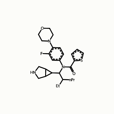 CCCC(CC)C(C1C2CNCC21)N(C(=O)c1cccs1)c1ccc(N2CCOCC2)c(F)c1